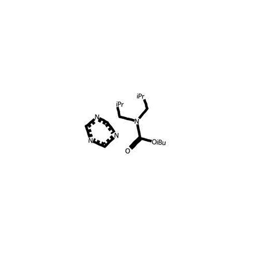 CC(C)COC(=O)N(CC(C)C)CC(C)C.c1ncncn1